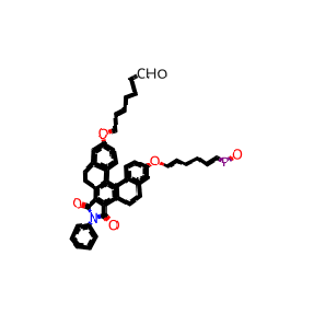 O=CCCCCCCOc1ccc2c(c1)CCc1c3c(c4c(c1-2)-c1ccc(OCCCCCCP=O)cc1CC4)C(=O)N(c1ccccc1)C3=O